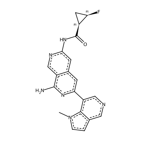 Cn1ccc2cncc(-c3cc4cc(NC(=O)[C@H]5C[C@H]5F)ncc4c(N)n3)c21